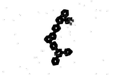 CC1(C)c2ccccc2-c2ccc(-c3ccc(-c4ccc5c(-c6ccc(-c7nc(-c8ccccc8)cc(-c8ccccc8)n7)cc6)cccc5c4)cc3)cc21